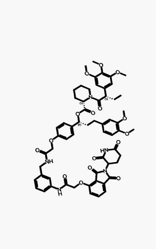 CC[C@H](C(=O)N1CCCC[C@H]1C(=O)O[C@H](CCc1ccc(OC)c(OC)c1)c1ccc(OCC(=O)NCc2cccc(NC(=O)COc3cccc4c3C(=O)N(C3CCC(=O)NC3=O)C4=O)c2)cc1)c1cc(OC)c(OC)c(OC)c1